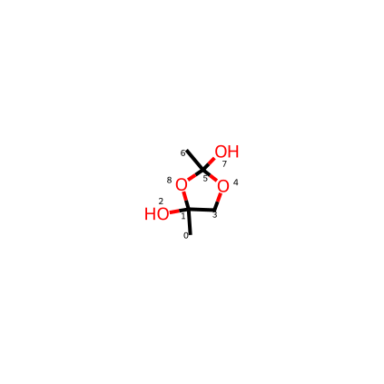 CC1(O)COC(C)(O)O1